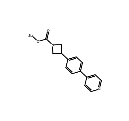 CC(C)(C)OC(=O)N1CC(c2ccc(-c3ccncc3)cc2)C1